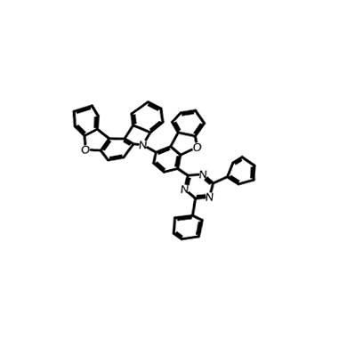 c1ccc(-c2nc(-c3ccccc3)nc(-c3ccc(-n4c5ccccc5c5c6c(ccc54)oc4ccccc46)c4c3oc3ccccc34)n2)cc1